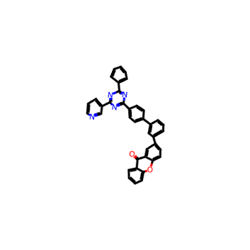 O=c1c2ccccc2oc2ccc(-c3cccc(-c4ccc(-c5nc(-c6ccccc6)nc(-c6cccnc6)n5)cc4)c3)cc12